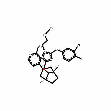 COCCn1nc(NC2[C@H]3CC[C@H]2CN(c2cc(C)ncn2)C3)nc1Oc1ccc(F)c(Cl)c1